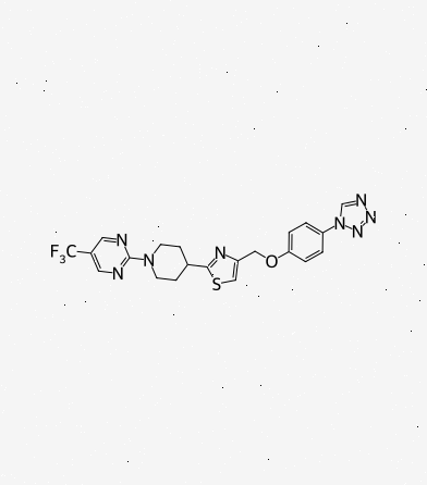 FC(F)(F)c1cnc(N2CCC(c3nc(COc4ccc(-n5cnnn5)cc4)cs3)CC2)nc1